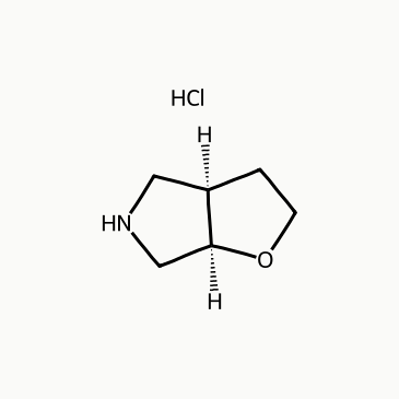 C1C[C@@H]2CNC[C@@H]2O1.Cl